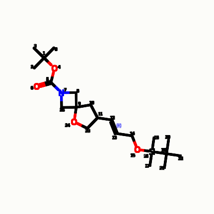 CC(C)(C)OC(=O)N1CC2(CC(/C=C/CO[Si](C)(C)C(C)(C)C)CO2)C1